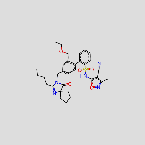 CCCCC1=NC2(CCCC2)C(=O)N1Cc1ccc(-c2ccccc2S(=O)(=O)Nc2onc(C)c2C#N)c(COCC)c1